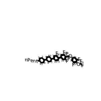 CCCCCC1CCC(C2CCC(c3ccc(-c4cc(F)c(C(F)(F)Oc5cc(F)c(OC(F)F)c(F)c5)c(F)c4)c(F)c3)CC2)CC1